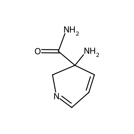 NC(=O)C1(N)C=CC=NC1